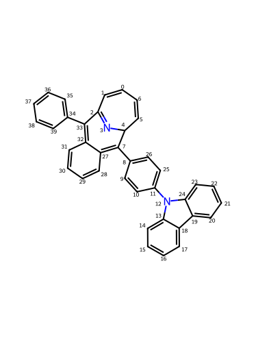 C1=CC2=NC(C=C1)C(c1ccc(-n3c4ccccc4c4ccccc43)cc1)=c1ccccc1=C2c1ccccc1